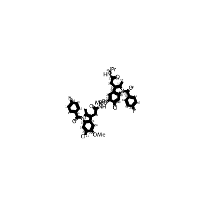 CCCCNC(=O)Cc1c(C)n(C(=O)c2ccc(F)cc2)c2cc(Cl)c(OC)cc12.COc1cc2c(CC(=O)NC(C)C)c(C)n(C(=O)c3ccc(F)cc3)c2cc1Cl